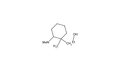 CCO.CNC1CCCCC1(C)C